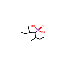 CCC(C)C(C(C)CC)P(=O)(O)O